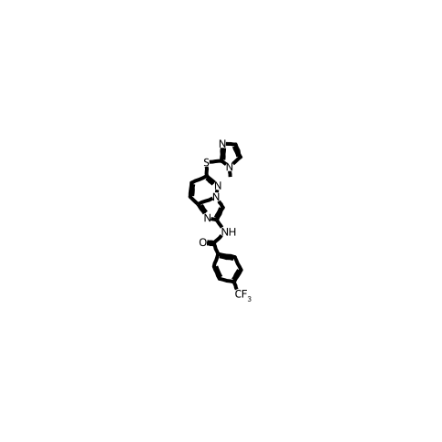 Cn1ccnc1Sc1ccc2nc(NC(=O)c3ccc(C(F)(F)F)cc3)cn2n1